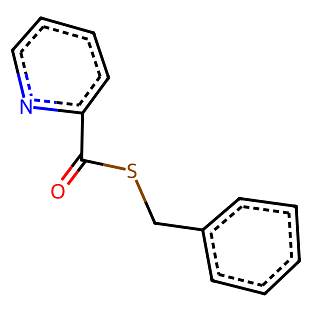 O=C(SCc1ccccc1)c1ccccn1